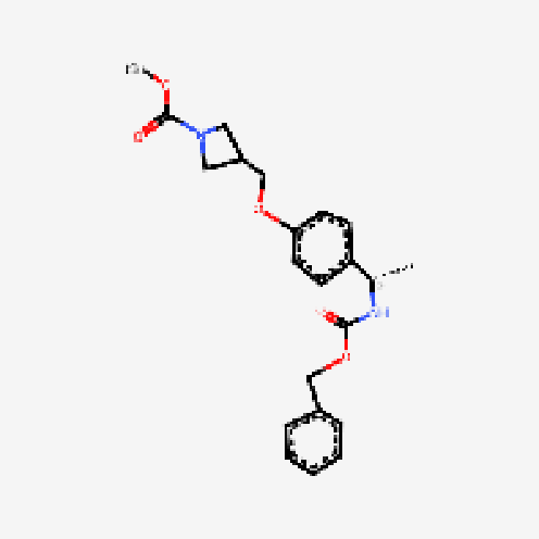 C[C@H](NC(=O)OCc1ccccc1)c1ccc(OCC2CN(C(=O)OC(C)(C)C)C2)cc1